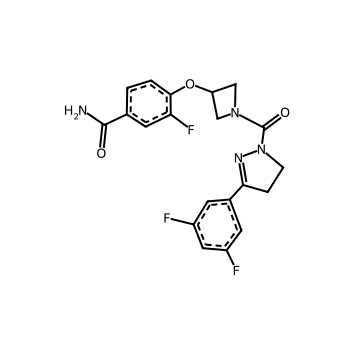 NC(=O)c1ccc(OC2CN(C(=O)N3CCC(c4cc(F)cc(F)c4)=N3)C2)c(F)c1